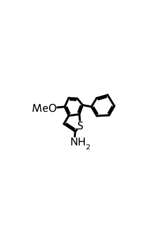 COc1ccc(-c2ccccc2)c2sc(N)cc12